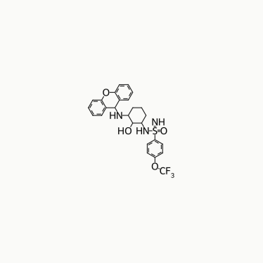 N=S(=O)(NC1CCCC(NC2c3ccccc3Oc3ccccc32)C1O)c1ccc(OC(F)(F)F)cc1